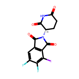 O=C1CC[C@H](N2C(=O)c3cc(F)c(F)c(I)c3C2=O)C(=O)N1